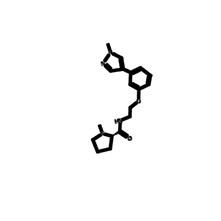 CN1CCC[C@H]1C(=O)NCCOc1c[c]cc(-c2cnn(C)c2)c1